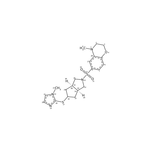 CN1CCOc2ccc(S(=O)(=O)N3C[C@H]4CC(Sc5nccn5C)C[C@H]4C3)cc21